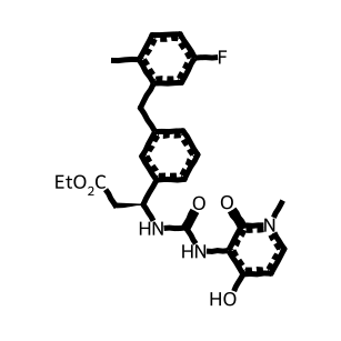 CCOC(=O)C[C@H](NC(=O)Nc1c(O)ccn(C)c1=O)c1cccc(Cc2cc(F)ccc2C)c1